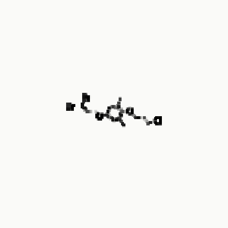 CCc1cc(OCC=C(Br)Br)cc(C)c1OCCCCl